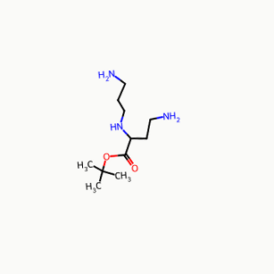 CC(C)(C)OC(=O)C(CCN)NCCCN